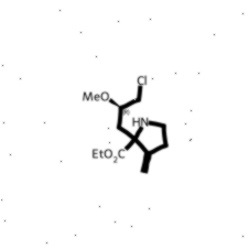 C=C1CCNC1(C[C@H](CCl)OC)C(=O)OCC